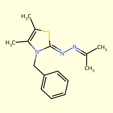 CC(C)=N/N=c1\sc(C)c(C)n1Cc1ccccc1